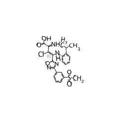 CC(C)c1ccccc1N/C(=C(/Cl)C(=N)C(=O)O)c1nc(-c2cccc(S(C)(=O)=O)c2)no1